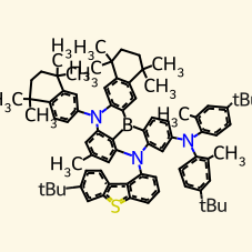 Cc1cc2c3c(c1)N(c1cccc4sc5cc(C(C)(C)C)ccc5c14)c1cc(N(c4ccc(C(C)(C)C)cc4C)c4ccc(C(C)(C)C)cc4C)ccc1B3c1cc3c(cc1N2c1ccc2c(c1)C(C)(C)CCC2(C)C)C(C)(C)CCC3(C)C